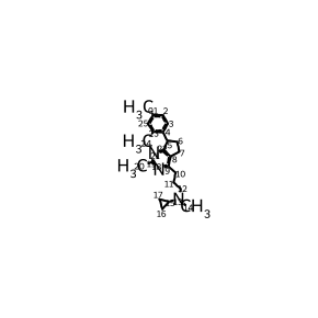 Cc1ccc(C2CCc3c(CCCN(C)C4CC4)nc(C)nc32)c(C)c1